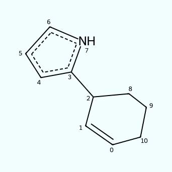 C1=CC(c2ccc[nH]2)CCC1